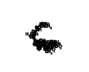 CCC(CO)OC(COC(=O)NCCC(=O)N[C@@H](C)C(=O)OCCCNC(=O)[C@@H](Cc1ccccc1)NC(=O)[C@H](C)[C@@H](OC)[C@@H]1CCCN1C(=O)C[C@@H](OC)[C@H]([C@@H](C)CC)N(C)C(=O)[C@@H](NC(=O)[C@H](C(C)C)N(C)C)C(C)C)OC